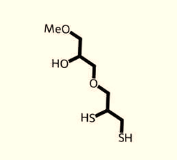 COCC(O)COCC(S)CS